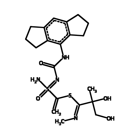 C=C(S/C(=N\C)C(C)(O)CO)S(N)(=O)=NC(=O)Nc1c2c(cc3c1CCC3)CCC2